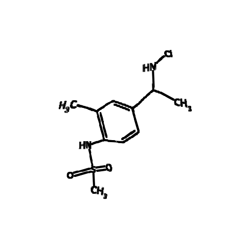 Cc1cc(C(C)NCl)ccc1NS(C)(=O)=O